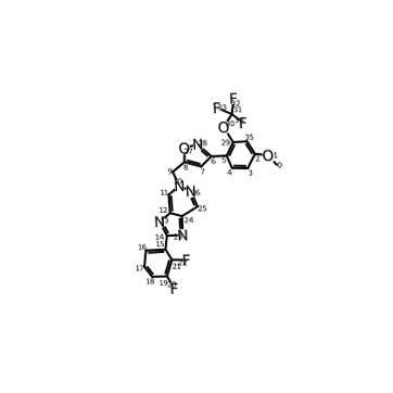 COc1ccc(-c2cc(Cn3cc4nc(-c5cccc(F)c5F)nc-4cn3)on2)c(OC(F)(F)F)c1